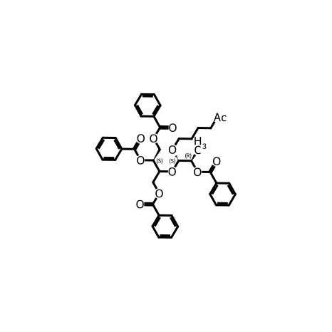 CC(=O)CCCCO[C@@H](OC(COC(=O)c1ccccc1)[C@H](COC(=O)c1ccccc1)OC(=O)c1ccccc1)[C@@H](C)OC(=O)c1ccccc1